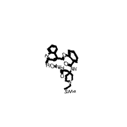 CSCCN1CCC(CC(=O)NO)(NC(=O)c2ccccc2OCc2cc(C)nc3ccccc23)CC1